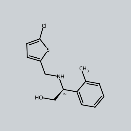 Cc1ccccc1[C@@H](CO)NCc1ccc(Cl)s1